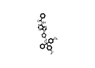 COc1ccc(C(OC[C@@H]2[CH]C[C@@H](n3cnc4c(NC(=O)c5ccccc5)ncnc43)C2)(c2ccccc2)c2ccc(OC)cc2)cc1